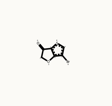 O=C1COc2c(Br)csc21